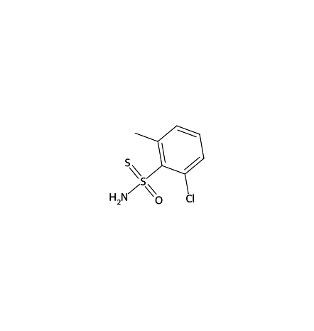 Cc1cccc(Cl)c1S(N)(=O)=S